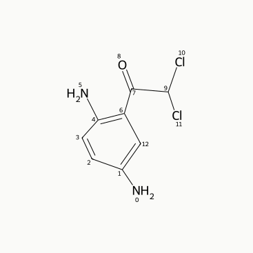 Nc1ccc(N)c(C(=O)C(Cl)Cl)c1